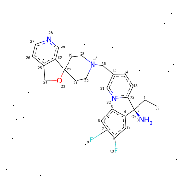 CC[C@](N)(c1ccc(F)c(F)c1)c1ccc(CN2CCC3(CC2)OCc2ccncc23)cn1